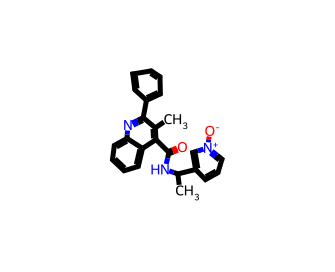 Cc1c(-c2ccccc2)nc2ccccc2c1C(=O)NC(C)c1ccc[n+]([O-])c1